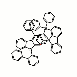 c1ccc(-c2ccccc2-n2c3ccccc3c3c(-c4ccccc4)cc(-n4c5ccccc5c5cccc([Si](c6ccccc6)(c6ccccc6)c6ccccc6)c54)cc32)cc1